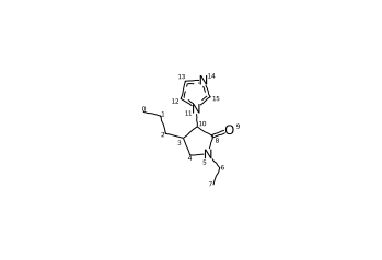 CCCC1CN(CC)C(=O)C1n1ccnc1